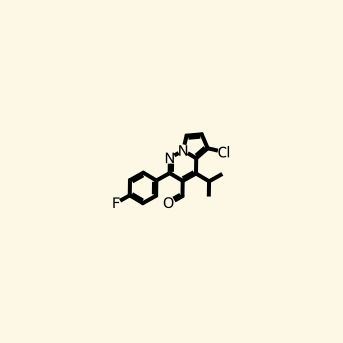 CC(C)c1c(C=O)c(-c2ccc(F)cc2)nn2ccc(Cl)c12